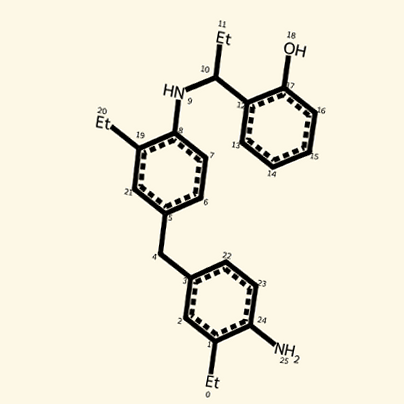 CCc1cc(Cc2ccc(NC(CC)c3ccccc3O)c(CC)c2)ccc1N